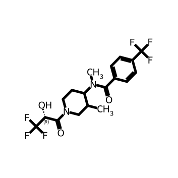 CC1CN(C(=O)[C@@H](O)C(F)(F)F)CCC1N(C)C(=O)c1ccc(C(F)(F)F)cc1